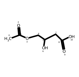 CC(=O)OCC(O)CC(=O)O